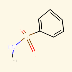 C[C](C)NS(=O)(=O)c1ccccc1